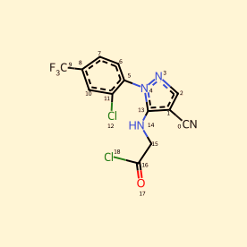 N#Cc1cnn(-c2ccc(C(F)(F)F)cc2Cl)c1NCC(=O)Cl